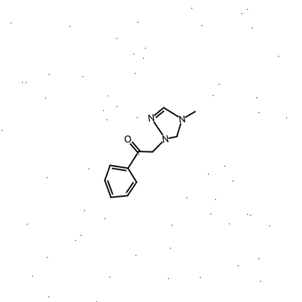 CN1C=NN(CC(=O)c2ccccc2)C1